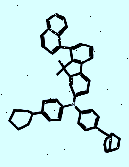 CC1(C)c2cc(N(c3ccc(C4CCCCC4)cc3)c3ccc(C4CC5CCC4CC5)cc3)ccc2-c2cccc(-c3cccc4ccccc34)c21